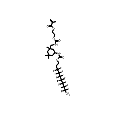 C=C(C)C(=O)OCCOC(=O)NCC1(C)CC(NC(=O)OCCC(F)(F)C(F)(F)C(F)(F)C(F)(F)C(F)(F)C(F)(F)C(F)(F)C(F)(F)F)CC(C)(C)C1